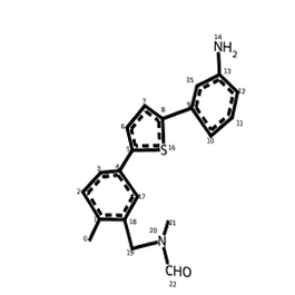 Cc1ccc(-c2ccc(-c3cccc(N)c3)s2)cc1CN(C)C=O